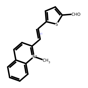 C[n+]1c(/C=C/c2ccc(C=O)s2)ccc2ccccc21